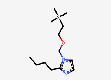 CCCCc1nccn1COCC[Si](C)(C)C